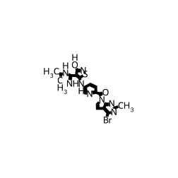 Cc1nc(Br)c2ccn(C(=O)c3ccc(Nc4snc(O)c4C(=N)NC(C)C)cn3)c2n1